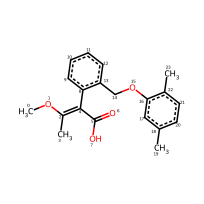 COC(C)=C(C(=O)O)c1ccccc1COc1cc(C)ccc1C